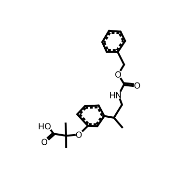 CC(CNC(=O)OCc1ccccc1)c1cccc(OC(C)(C)C(=O)O)c1